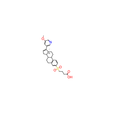 COc1cncc(C2=CCC3C4CCc5cc(S(=O)(=O)CCCC(=O)O)ccc5C4CC[C@]23C)c1